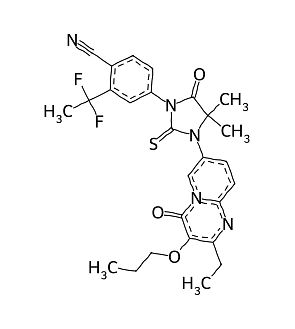 CCCOc1c(CC)nc2ccc(N3C(=S)N(c4ccc(C#N)c(C(C)(F)F)c4)C(=O)C3(C)C)cn2c1=O